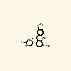 CCC1CN(C[C@H](c2cccc(OC(F)(F)F)c2)C2CCCCC2O)CCN1.Cl.Cl